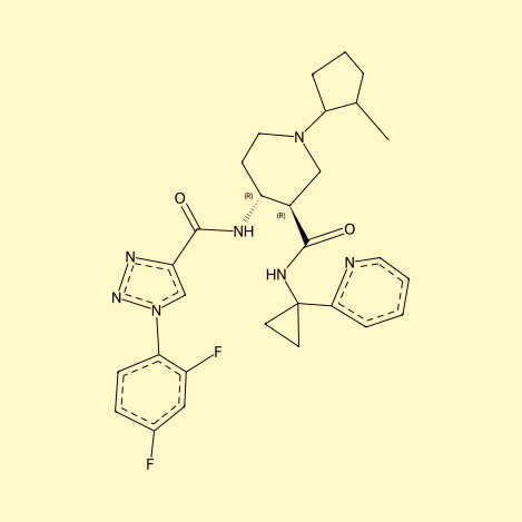 CC1CCCC1N1CC[C@@H](NC(=O)c2cn(-c3ccc(F)cc3F)nn2)[C@H](C(=O)NC2(c3ccccn3)CC2)C1